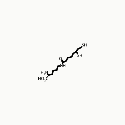 N[C@@H](CCCCNC(=O)CCCCC(S)CCS)C(=O)O